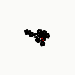 c1ccc(-c2cc(-c3ccc4c(c3)oc3ccccc34)nc(-c3cccc(-n4c5ccccc5c5cc6c(cc54)C4(c5ccccc5-c5ccccc54)c4ccccc4-6)c3)n2)cc1